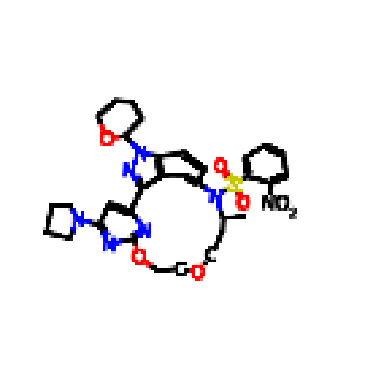 C[C@H]1CCOCCOc2nc(cc(N3CCCC3)n2)-c2nn(C3CCCCO3)c3ccc(cc23)N1S(=O)(=O)c1ccccc1[N+](=O)[O-]